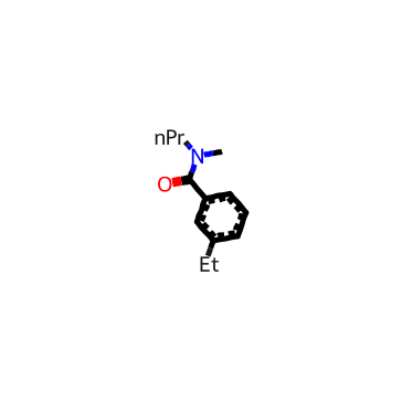 CCCN(C)C(=O)c1cccc(CC)c1